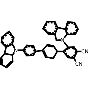 N#Cc1cc(C2C=CC(c3ccc(N4c5ccccc5C5C=CC=CC54)cc3)=CC2)c(N2Cc3ccccc3-c3ccccc32)cc1C#N